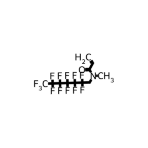 C=CC(=O)N(C)CC(F)(F)C(F)(F)C(F)(F)C(F)(F)C(F)(F)C(F)(F)F